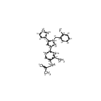 CC(=O)Nc1cnc(-c2cc(-c3ccon3)n(Cc3ccccc3F)n2)nc1N